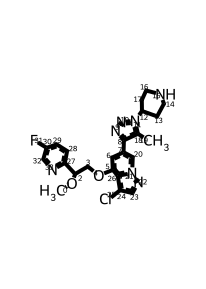 COC(COc1cc(-c2nnn(C3CCNCC3)c2C)cn2ncc(Cl)c12)c1ccc(F)cn1